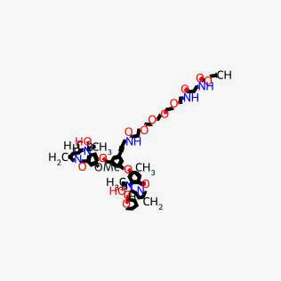 C#CCOC(=O)NCCC(=O)NCCOCCOCCOCCOCCC(=O)NCC#Cc1cc(COc2cc3c(cc2C)C(=O)N2CC(=C)C[C@H]2[C@H](OC2CCCCO2)N3B(C)O)cc(COc2cc3c(cc2OC)C(=O)N2CC(=C)C[C@H]2[C@H](C)N3B(C)O)c1